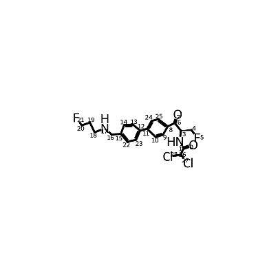 O=C(N[C@H](CF)C(=O)c1ccc(-c2ccc(CNCCCF)cc2)cc1)C(Cl)Cl